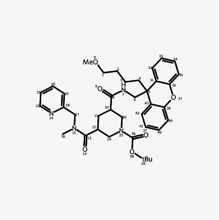 COCCCCC1(CNC(=O)C2CC(C(=O)N(C)Cc3ccccn3)CN(C(=O)OC(C)(C)C)C2)c2ccccc2Oc2ccccc21